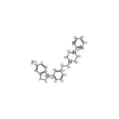 Fc1ccc2c(c1)CCB2c1cccc(CCN2CCN(c3ncccn3)CC2)c1